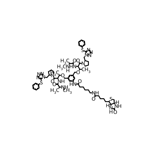 CNC(C)C(=O)NC(C(=O)N1CCCC1Cn1nnnc1Sc1ccccc1)C(C)OCc1cc(COC(C)C(NC(=O)C(C)NC)C(=O)N2CCCC2Cn2nnnc2Sc2ccccc2)cc(NC(=O)CCCCCNC(=O)CCCCC2SC[C@@H]3NC(=O)N[C@H]23)c1